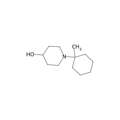 CC1(N2CCC(O)CC2)CCCCC1